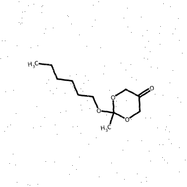 CCCCCCOC1(C)OCC(=O)CO1